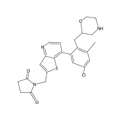 Cc1cc(Cl)cc(-c2ccnc3cc(CN4C(=O)CCC4=O)sc23)c1CC1CNCCO1